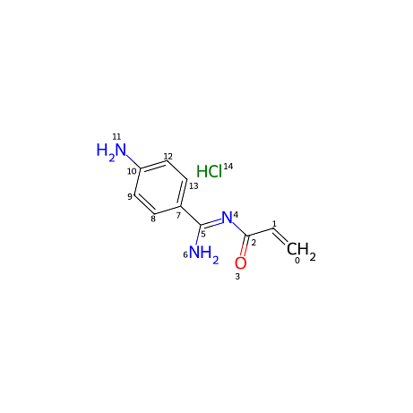 C=CC(=O)N=C(N)c1ccc(N)cc1.Cl